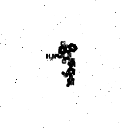 COc1cc(-c2cn(C3N=C(c4ccccc4F)c4cc(Cl)ccc4N(CCN)C3=O)nn2)ccc1-n1cnc(C)c1